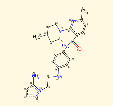 Cc1ccc(C(=O)Nc2ccc(NCCn3nccc3N)cc2)c(N2CCC(C)CC2)n1